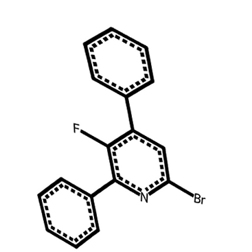 Fc1c(-c2ccccc2)cc(Br)nc1-c1ccccc1